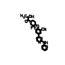 CC(O)C(=O)N1CCC(Oc2ccc(-c3ccnc(Nc4ccccn4)n3)cc2C#N)C(F)(F)C1